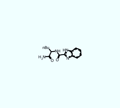 CCCCC(NC(=O)c1nc2ccccc2[nH]1)C(N)=O